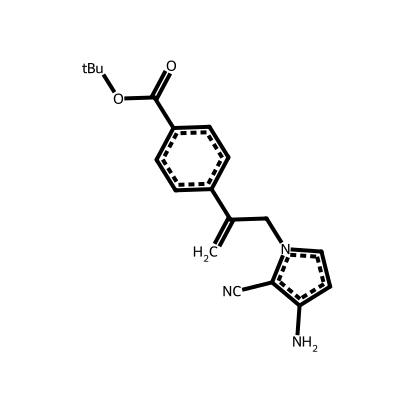 C=C(Cn1ccc(N)c1C#N)c1ccc(C(=O)OC(C)(C)C)cc1